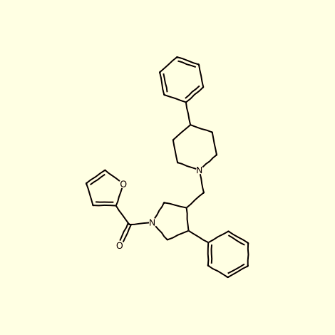 O=C(c1ccco1)N1CC(CN2CCC(c3ccccc3)CC2)C(c2ccccc2)C1